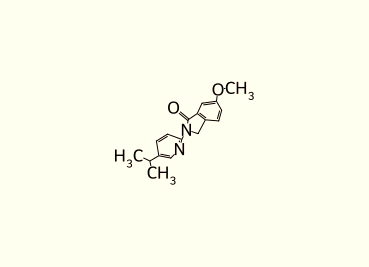 COc1ccc2c(c1)C(=O)N(c1ccc(C(C)C)cn1)C2